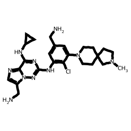 CN1CCC2(CCN(c3cc(CN)cc(Nc4nc(NC5CC5)c5ncc(CN)n5n4)c3Cl)CC2)C1